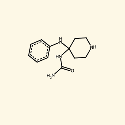 NC(=O)NC1(Nc2ccccc2)CCNCC1